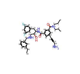 CCCN(CCC)C(=O)c1cc(C#CCN)cc(C(=O)NC(Cc2cc(F)cc(F)c2)C(O)CNCc2cccc(CC)c2)c1